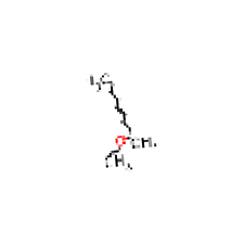 C/C=C/CCCCCC(C)OCCC